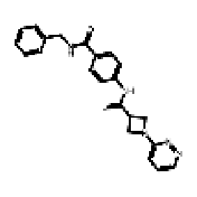 O=C(NCc1ccccc1)c1ccc(NC(=O)C2CN(c3cccnn3)C2)cc1